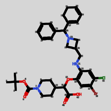 CC(C)(C)OC(=O)N1CCC(C(Oc2cc(Br)c(Cl)cc2NCC2CN(C(C3=CC=CCC3)c3ccccc3)C2)C(=O)O)CC1